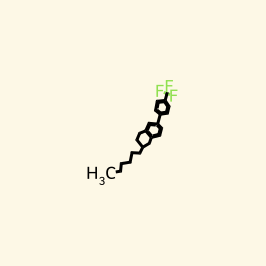 CCCCCCC1CCc2cc(-c3ccc(C(F)(F)F)cc3)ccc2C1